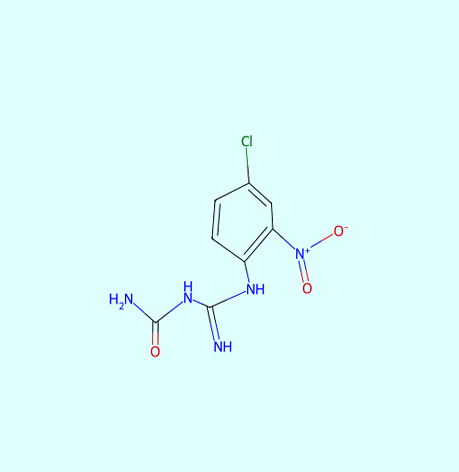 N=C(NC(N)=O)Nc1ccc(Cl)cc1[N+](=O)[O-]